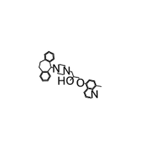 Cc1ccc(OCC(O)CN2CCN(C3c4ccccc4CCc4ccccc43)CC2)c2cccnc12